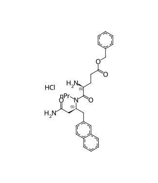 CCCN(C(=O)[C@@H](N)CCC(=O)OCc1ccccc1)[C@H](CC(N)=O)Cc1ccc2ccccc2c1.Cl